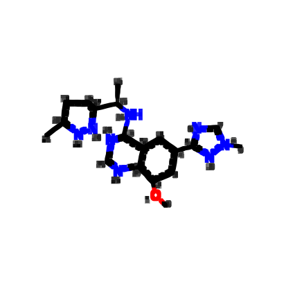 COc1cc(-c2ncn(C)n2)cc2c(N[C@H](C)c3ccc(C)nn3)ncnc12